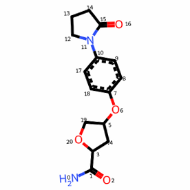 NC(=O)C1[CH]C(Oc2ccc(N3CCCC3=O)cc2)CO1